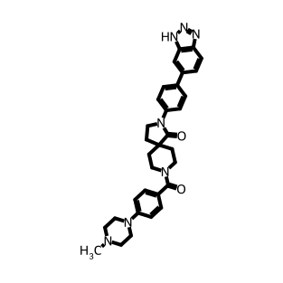 CN1CCN(c2ccc(C(=O)N3CCC4(CC3)CCN(c3ccc(-c5ccc6nn[nH]c6c5)cc3)C4=O)cc2)CC1